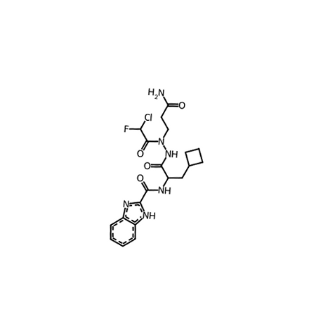 NC(=O)CCN(NC(=O)C(CC1CCC1)NC(=O)c1nc2ccccc2[nH]1)C(=O)C(F)Cl